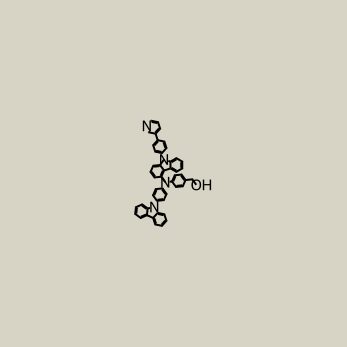 OCc1ccc(N(c2ccc(-n3c4ccccc4c4ccccc43)cc2)c2cccc3c2c2ccccc2n3-c2ccc(-c3cccnc3)cc2)cc1